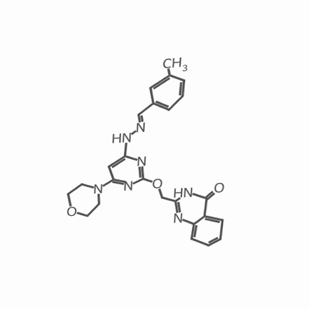 Cc1cccc(/C=N/Nc2cc(N3CCOCC3)nc(OCc3nc4ccccc4c(=O)[nH]3)n2)c1